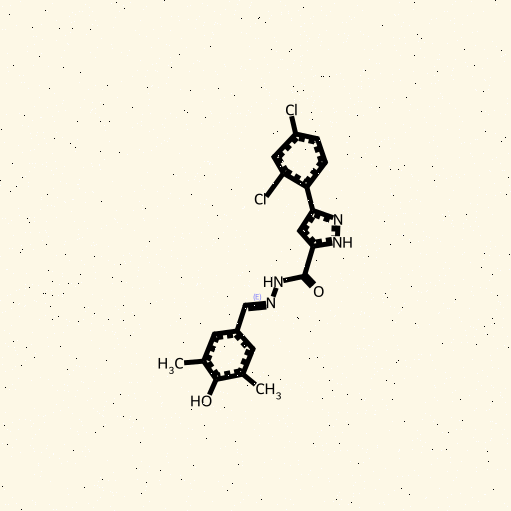 Cc1cc(/C=N/NC(=O)c2cc(-c3ccc(Cl)cc3Cl)n[nH]2)cc(C)c1O